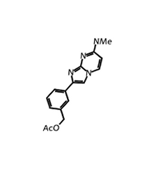 CNc1ccn2cc(-c3cccc(COC(C)=O)c3)nc2n1